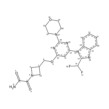 NC(=O)C(=O)N1CC(COc2cc(-n3c(C(F)F)nc4ccccc43)nc(N3CCOCC3)n2)C1